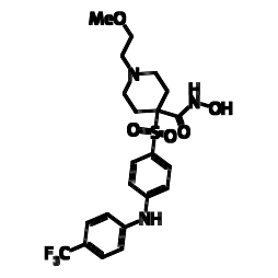 COCCN1CCC(C(=O)NO)(S(=O)(=O)c2ccc(Nc3ccc(C(F)(F)F)cc3)cc2)CC1